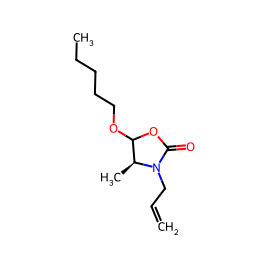 C=CCN1C(=O)OC(OCCCCC)[C@@H]1C